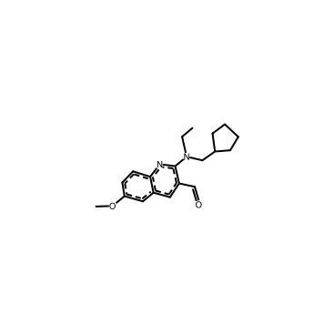 CCN(CC1CCCC1)c1nc2ccc(OC)cc2cc1C=O